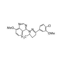 COc1cc(C2=NN(c3ncnc4c(OC)cccc34)C(C)CC2)ccc1Cl